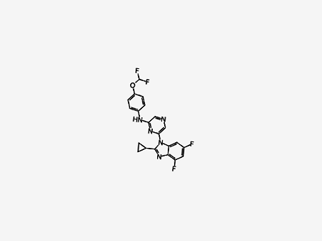 Fc1cc(F)c2nc(C3CC3)n(-c3cncc(Nc4ccc(OC(F)F)cc4)n3)c2c1